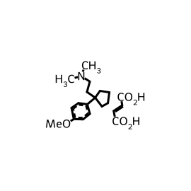 COc1ccc(C2(CCN(C)C)CCCC2)cc1.O=C(O)C=CC(=O)O